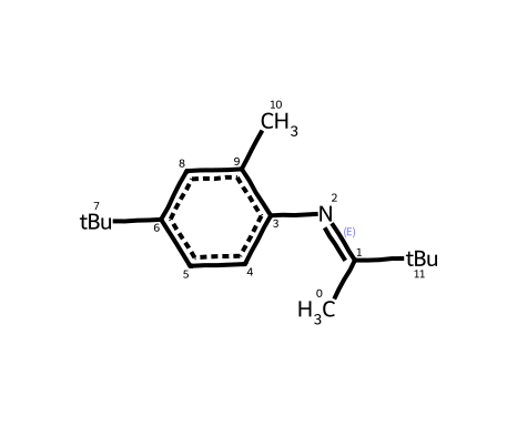 C/C(=N\c1ccc(C(C)(C)C)cc1C)C(C)(C)C